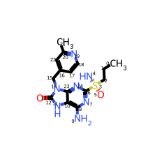 CCCS(=N)(=O)c1nc(N)c2[nH]c(=O)n(Cc3ccnc(C)c3)c2n1